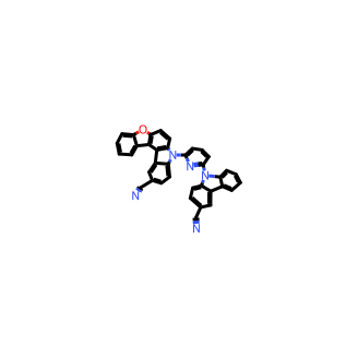 N#Cc1ccc2c(c1)c1ccccc1n2-c1cccc(-n2c3ccc(C#N)cc3c3c4c(ccc32)oc2ccccc24)n1